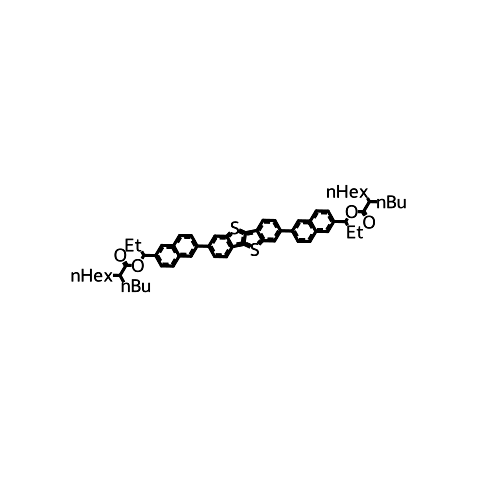 CCCCCCC(CCCC)C(=O)OC(CC)c1ccc2cc(-c3ccc4c(c3)sc3c5ccc(-c6ccc7cc(C(CC)OC(=O)C(CCCC)CCCCCC)ccc7c6)cc5sc43)ccc2c1